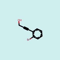 OCC#Cc1ccccc1Br